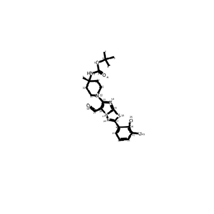 CC1(NC(=O)OC(C)(C)C)CCN(c2nc3sc(-c4cccc(Cl)c4Cl)nn3c2C=O)CC1